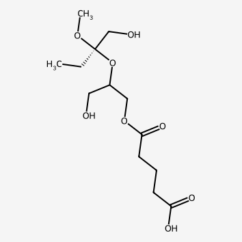 CC[C@@](CO)(OC)OC(CO)COC(=O)CCCC(=O)O